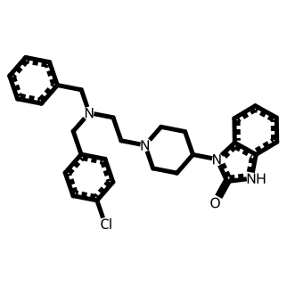 O=c1[nH]c2ccccc2n1C1CCN(CCN(Cc2ccccc2)Cc2ccc(Cl)cc2)CC1